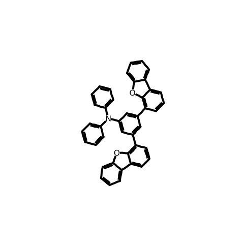 c1ccc(N(c2ccccc2)c2cc(-c3cccc4c3oc3ccccc34)cc(-c3cccc4c3oc3ccccc34)c2)cc1